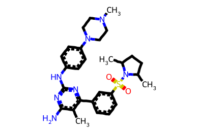 Cc1c(N)nc(Nc2ccc(N3CCN(C)CC3)cc2)nc1-c1cccc(S(=O)(=O)N2C(C)CCC2C)c1